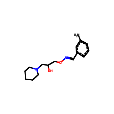 O=[N+]([O-])c1cccc([C]=NOCC(O)CN2CCCCC2)c1